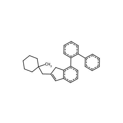 CC1(CC2=Cc3cccc(-c4ccccc4-c4ccccc4)c3C2)CCCCC1